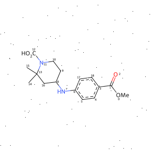 COC(=O)c1ccc(NC2CCN(C(=O)O)C(C)(C)C2)cc1